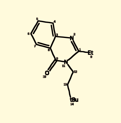 CCc1nc2ccccc2c(=O)n1CCC(C)(C)C